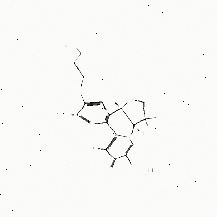 COCCCOc1cc2c(cc1OC)-c1c(F)c(=O)c(C(=O)O)cn1[C@@H]1[C@H]2OCC1(C)C